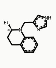 CC[C@@H]1CCc2ccccc2N1Cc1c[nH]cn1